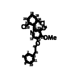 COc1c(OCCc2ccccc2)cnn(-c2c(Cl)cccc2Cl)c1=O